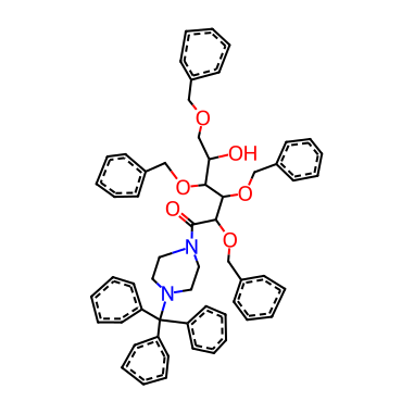 O=C(C(OCc1ccccc1)C(OCc1ccccc1)C(OCc1ccccc1)C(O)COCc1ccccc1)N1CCN(C(c2ccccc2)(c2ccccc2)c2ccccc2)CC1